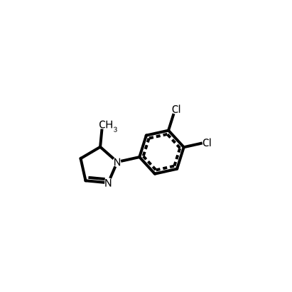 CC1CC=NN1c1ccc(Cl)c(Cl)c1